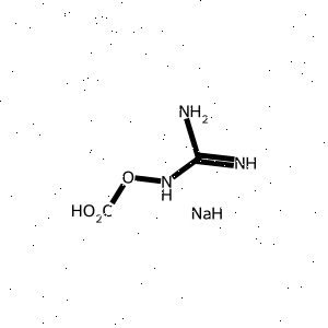 N=C(N)NOC(=O)O.[NaH]